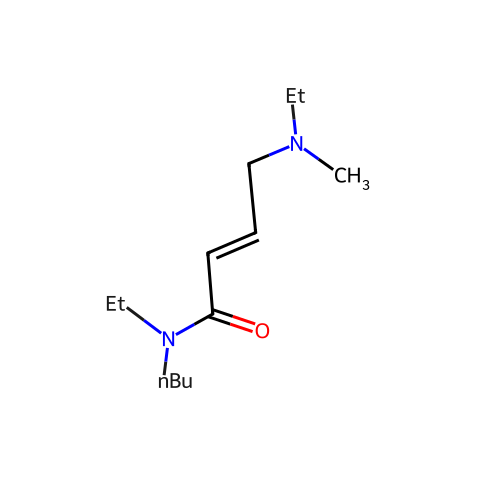 CCCCN(CC)C(=O)/C=C/CN(C)CC